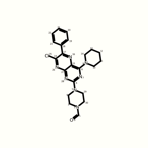 O=CN1CCN(c2nc(N3CCCCC3)c3nc(-c4ccccc4)c(Cl)nc3n2)CC1